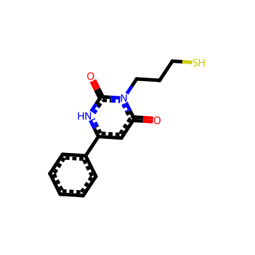 O=c1cc(-c2ccccc2)[nH]c(=O)n1CCCS